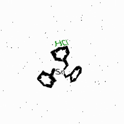 Cl.c1ccc([CH2][Sn]([CH2]c2ccccc2)[CH2]c2ccccc2)cc1